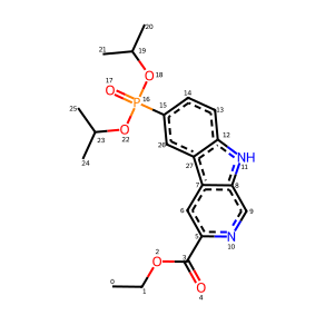 CCOC(=O)c1cc2c(cn1)[nH]c1ccc(P(=O)(OC(C)C)OC(C)C)cc12